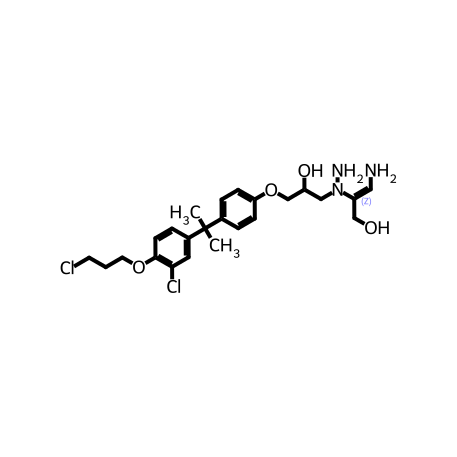 CC(C)(c1ccc(OCC(O)CN(N)/C(=C\N)CO)cc1)c1ccc(OCCCCl)c(Cl)c1